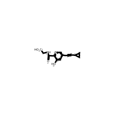 O=C(O)CNC(=O)c1ncc(C#CC2CC2)cc1O